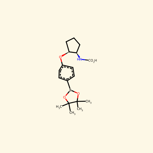 CC1(C)OB(c2ccc(O[C@H]3CCC[C@H]3NC(=O)O)cc2)OC1(C)C